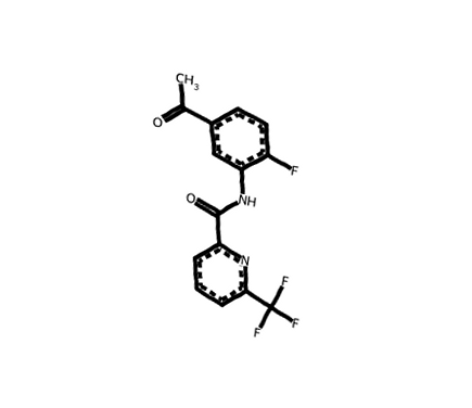 CC(=O)c1ccc(F)c(NC(=O)c2cccc(C(F)(F)F)n2)c1